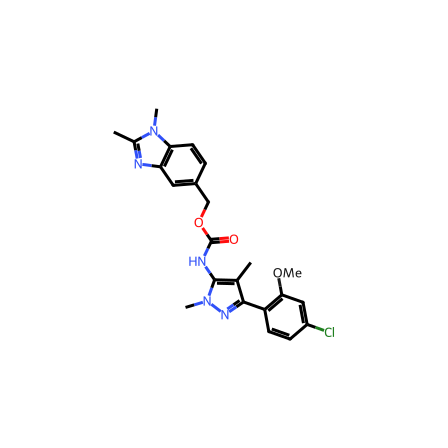 COc1cc(Cl)ccc1-c1nn(C)c(NC(=O)OCc2ccc3c(c2)nc(C)n3C)c1C